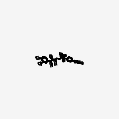 COc1ccc(S(=O)(=O)NCCNC(=O)Nc2ccc(Cl)c(Cl)c2)cc1